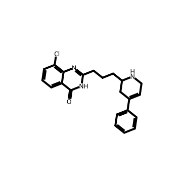 O=c1[nH]c(CCCC2CC(c3ccccc3)=CCN2)nc2c(Cl)cccc12